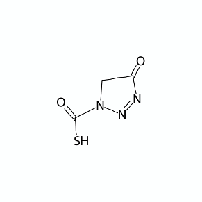 O=C1CN(C(=O)S)N=N1